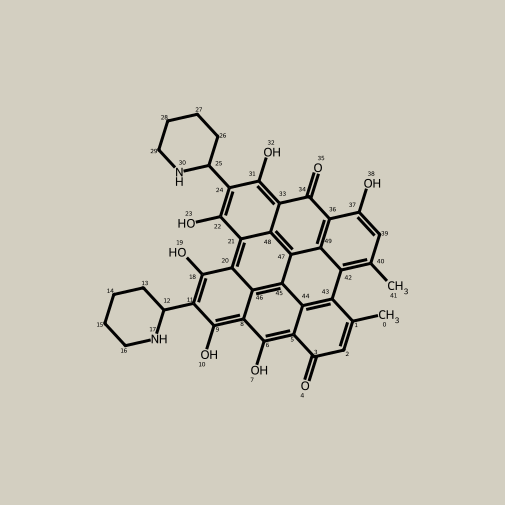 Cc1cc(=O)c2c(O)c3c(O)c(C4CCCCN4)c(O)c4c5c(O)c(C6CCCCN6)c(O)c6c(=O)c7c(O)cc(C)c8c1c2c(c34)c(c65)c78